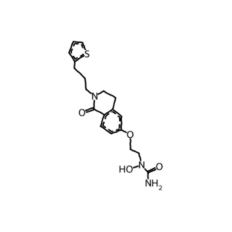 NC(=O)N(O)CCOc1ccc2c(c1)CCN(CCCc1cccs1)C2=O